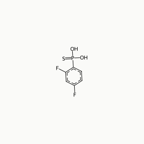 OP(O)(=S)c1ccc(F)cc1F